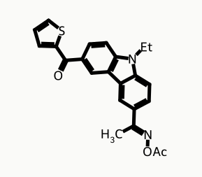 CCn1c2ccc(C(=O)c3cccs3)cc2c2cc(C(C)=NOC(C)=O)ccc21